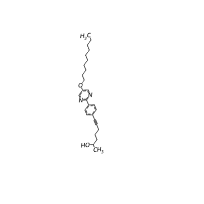 CCCCCCCCCCOc1cnc(-c2ccc(C#CCCCC(C)O)cc2)nc1